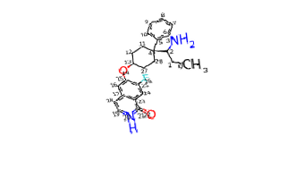 CCC(N)[C@]1(c2ccccc2)CC[C@H](Oc2cc3cc[nH]c(=O)c3cc2F)CC1